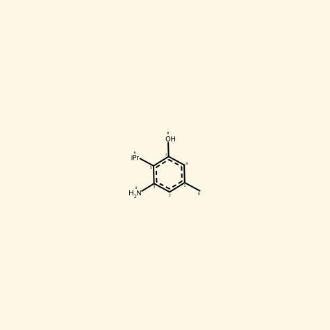 Cc1cc(N)c(C(C)C)c(O)c1